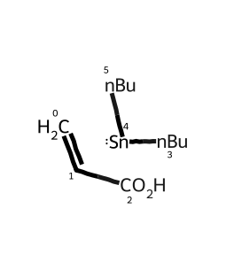 C=CC(=O)O.CCC[CH2][Sn][CH2]CCC